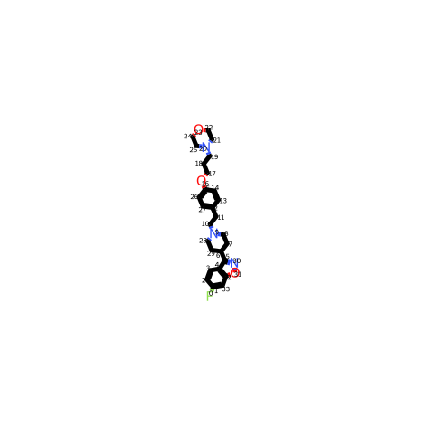 Fc1ccc2c(C3CCN(CCc4ccc(OCCCN5CCOCC5)cc4)CC3)noc2c1